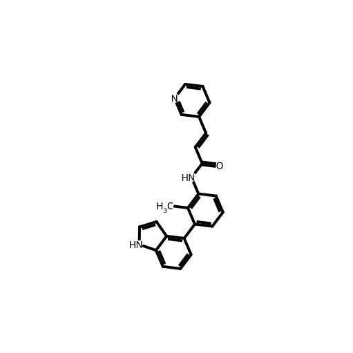 Cc1c(NC(=O)/C=C/c2cccnc2)cccc1-c1cccc2[nH]ccc12